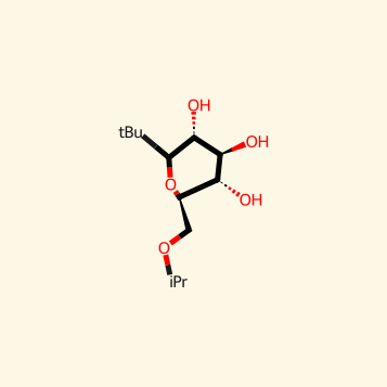 CC(C)OC[C@H]1OC(C(C)(C)C)[C@H](O)[C@@H](O)[C@@H]1O